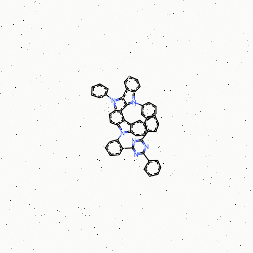 c1ccc(-c2nc(-c3ccccc3)nc(-c3ccccc3-n3c4ccccc4c4c5c(ccc43)n(-c3ccccc3)c3c4ccccc4n(-c4ccccc4)c53)n2)cc1